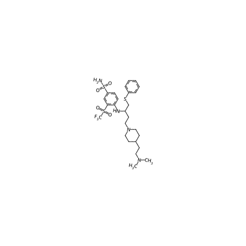 CN(C)CCC1CCN(CCC(CSc2ccccc2)Nc2ccc(S(N)(=O)=O)cc2S(=O)(=O)C(F)(F)F)CC1